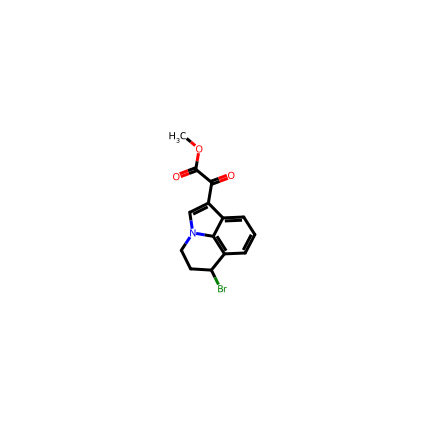 COC(=O)C(=O)c1cn2c3c(cccc13)C(Br)CC2